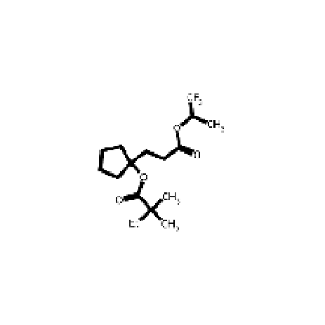 CCC(C)(C)C(=O)OC1(CCC(=O)OC(C)C(F)(F)F)CCCC1